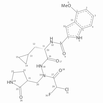 COc1cccc2[nH]c(C(=O)N[C@@H](CC3CC3)C(=O)NN(CC3CCNC3=O)C(=O)C(F)Cl)cc12